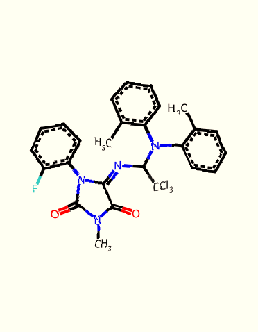 Cc1ccccc1N(c1ccccc1C)C(N=C1C(=O)N(C)C(=O)N1c1ccccc1F)C(Cl)(Cl)Cl